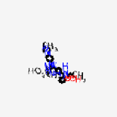 CC(=O)O.CC(O)CC(=O)NC(c1ccccc1)c1ccc(-c2nn([C@H]3CC[C@@H](N4CCN(C)CC4)CC3)c3ncnc(N)c23)cc1